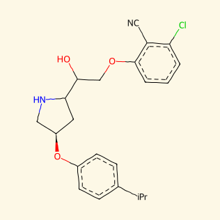 CC(C)c1ccc(O[C@H]2CNC(C(O)COc3cccc(Cl)c3C#N)C2)cc1